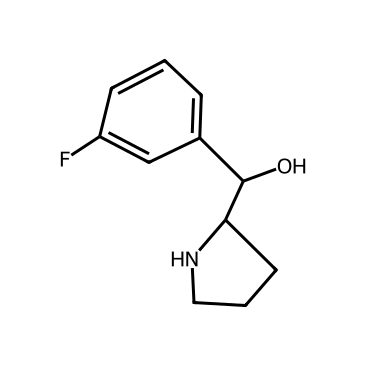 OC(c1cccc(F)c1)C1CCCN1